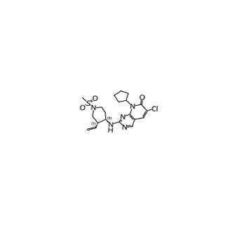 C=C[C@H]1CN(S(C)(=O)=O)CC[C@H]1Nc1ncc2cc(Cl)c(=O)n(C3CCCC3)c2n1